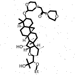 CCO[C@@H]([C@H]1C[C@@H](C)[C@H]2[C@H](O1)[C@H](O)[C@@]1(C)[C@@H]3CC[C@H]4C(C)(C)[C@@H](OC5CN(CC(=O)N6CCOCC6)CCO5)CCC45C[C@@]35CC[C@]21C)C(C)(C)O